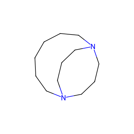 C1CCCN2CCCN(CC1)CCC2